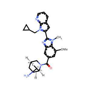 COc1cc(C(=O)N2C[C@@H]3CC[C@H]2[C@@H](N)C3)cc2nc(-c3cc4cccnc4n3CC3CC3)n(C)c12